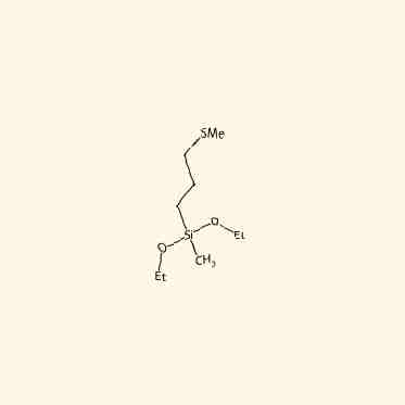 CCO[Si](C)(CCCSC)OCC